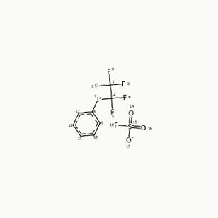 FC(F)(F)C(F)(F)[I+]c1ccccc1.O=S(=O)([O-])F